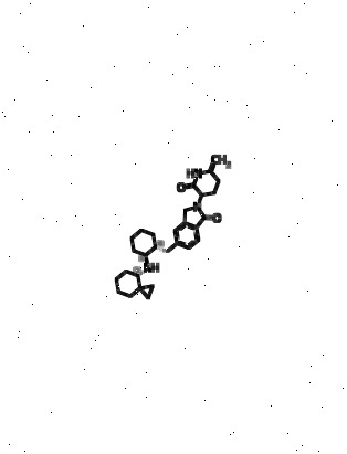 C=C1CCC(N2Cc3cc(C[C@H]4CCCC[C@@H]4N[C@H]4CCCCC45CC5)ccc3C2=O)C(=O)N1